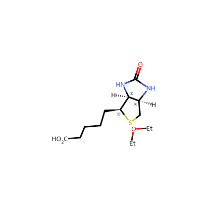 CCOCC.O=C(O)CCCC[C@@H]1SC[C@@H]2NC(=O)N[C@@H]21